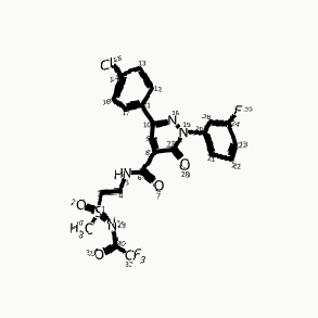 CS(=O)(CCNC(=O)c1cc(-c2ccc(Cl)cc2)nn(-c2cccc(F)c2)c1=O)=NC(=O)C(F)(F)F